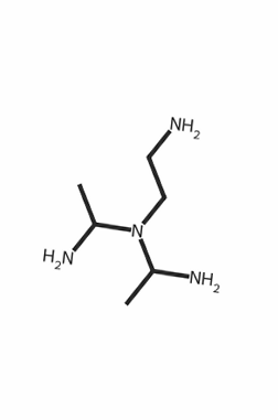 CC(N)N(CCN)C(C)N